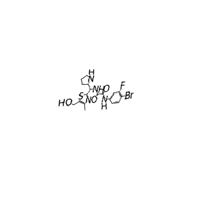 Cc1nc(C(NC(=O)C(=O)Nc2ccc(Br)c(F)c2)C2CCCN2)sc1CO